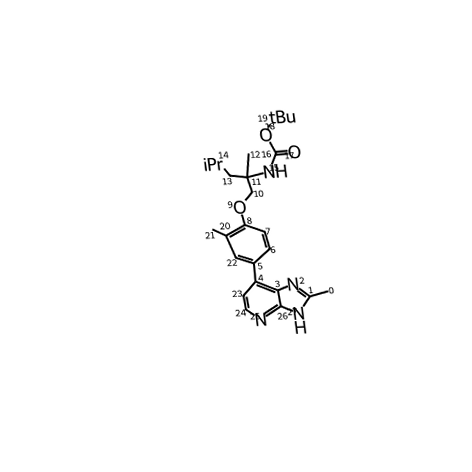 Cc1nc2c(-c3ccc(OCC(C)(CC(C)C)NC(=O)OC(C)(C)C)c(C)c3)ccnc2[nH]1